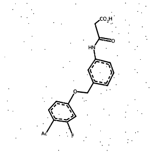 CC(=O)c1ccc(OCc2cccc(NC(=O)CC(=O)O)c2)cc1F